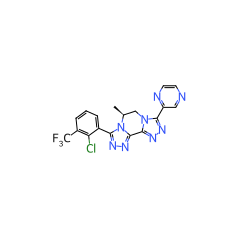 C[C@H]1Cn2c(-c3cnccn3)nnc2-c2nnc(-c3cccc(C(F)(F)F)c3Cl)n21